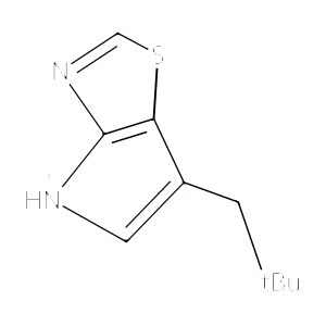 CC(C)(C)Cc1c[nH]c2ncsc12